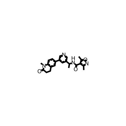 Cc1noc(C)c1C(=O)NC(C)c1cncc(-c2ccc3c(c2)CCC(=O)N3C)c1